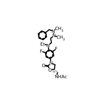 CCN(CCN(C)N(C)Cc1ccccc1)c1c(F)cc(N2C[C@H](CNC(C)=O)OC2=O)cc1F